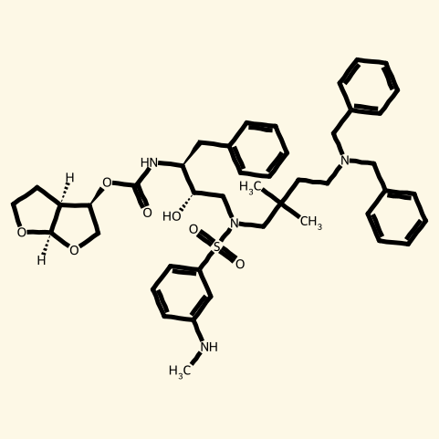 CNc1cccc(S(=O)(=O)N(C[C@H](O)[C@H](Cc2ccccc2)NC(=O)O[C@H]2CO[C@H]3OCC[C@H]32)CC(C)(C)CCN(Cc2ccccc2)Cc2ccccc2)c1